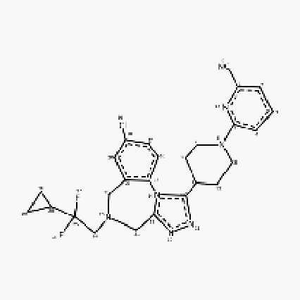 N#Cc1cccc(N2CCC(c3nnc4n3-c3ccc(Cl)cc3CN(CC(F)(F)C3CC3)C4)CC2)n1